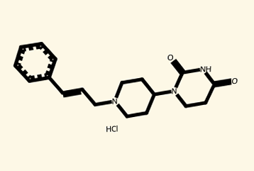 Cl.O=C1CCN(C2CCN(CC=Cc3ccccc3)CC2)C(=O)N1